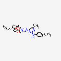 Cc1ccc(Nc2nc(C)cc(N3CCN(C(=O)OC(C)(C)C)CC3)n2)cc1